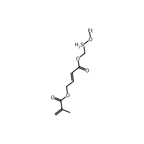 C=C(C)C(=O)OCC=CC(=O)OC[SiH2]OCC